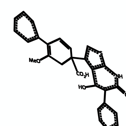 COC1=C(c2ccccc2)C=CC(C(=O)O)(c2csc3[nH]c(=O)c(-c4ccccc4)c(O)c23)C1